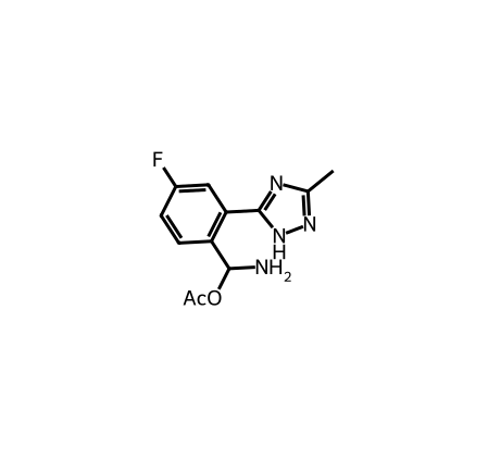 CC(=O)OC(N)c1ccc(F)cc1-c1nc(C)n[nH]1